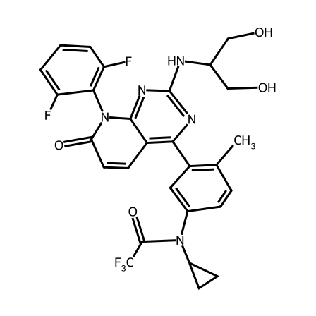 Cc1ccc(N(C(=O)C(F)(F)F)C2CC2)cc1-c1nc(NC(CO)CO)nc2c1ccc(=O)n2-c1c(F)cccc1F